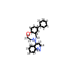 c1ccc(-c2ccc3c(c2)CN(c2ccnc4ccccc24)CCO3)cc1